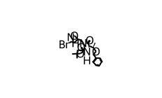 C[C@@H](OCc1ccccc1)[C@H](NC(=O)OC(C)(C)C)C(=O)NCC1CC(Br)=NO1